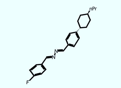 CCC[C@H]1CC[C@H](c2ccc(C=NN=Cc3ccc(F)cc3)cc2)CC1